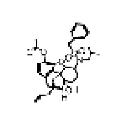 C=CCN1CC[C@]23c4c5ccc(OC(C)=O)c4OC2C(N(CC(C)C)S(=O)(=O)Cc2ccccc2)CC[C@@]3(O)[C@H]1C5